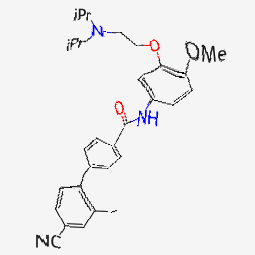 COc1ccc(NC(=O)c2ccc(-c3ccc(C#N)cc3C)cc2)cc1OCCN(C(C)C)C(C)C